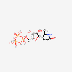 Cc1[nH]c(=O)ccc1[C@@H]1O[C@H](COP2(=O)OP(=O)(O)OP(=O)(O)O2)[C@H](O)C1O